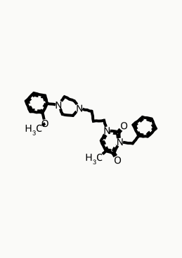 COc1ccccc1N1CCN(CCCn2cc(C)c(=O)n(Cc3ccccc3)c2=O)CC1